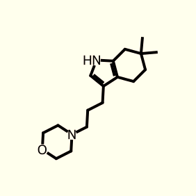 CC1(C)CCc2c(CCCN3CCOCC3)c[nH]c2C1